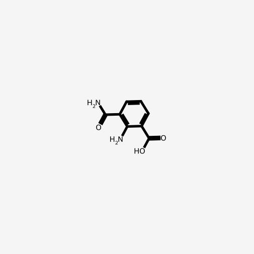 NC(=O)c1cccc(C(=O)O)c1N